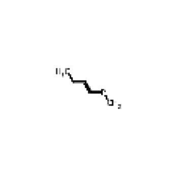 CC/C=C/[P]C